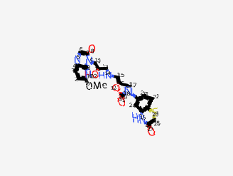 COc1ccc2ncc(=O)n(CC(O)CNCC3CN(c4ccc5c(c4)NC(=O)CS5)C(=O)O3)c2n1